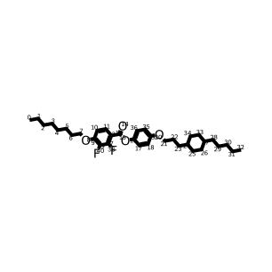 CCCCCCCCOc1ccc(C(=O)Oc2ccc(OCCCC3CCC(CCCCC)CC3)cc2)c(F)c1F